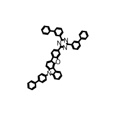 c1ccc(-c2ccc(-n3c4ccccc4c4c5oc6cc(-c7nc(-c8cccc(-c9ccccc9)c8)nc(-c8cccc(-c9ccccc9)c8)n7)ccc6c5ccc43)cc2)cc1